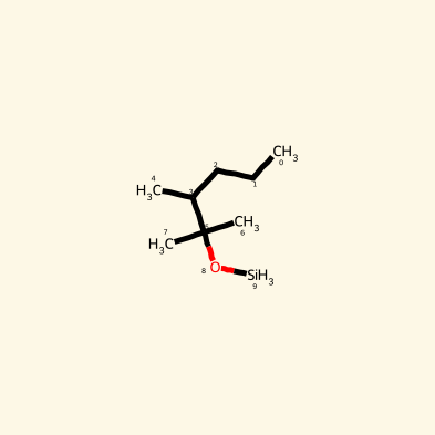 CCCC(C)C(C)(C)O[SiH3]